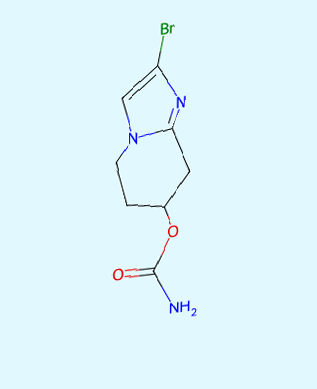 NC(=O)OC1CCn2cc(Br)nc2C1